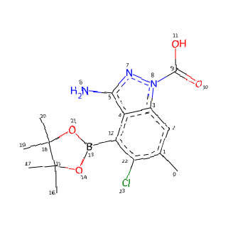 Cc1cc2c(c(N)nn2C(=O)O)c(B2OC(C)(C)C(C)(C)O2)c1Cl